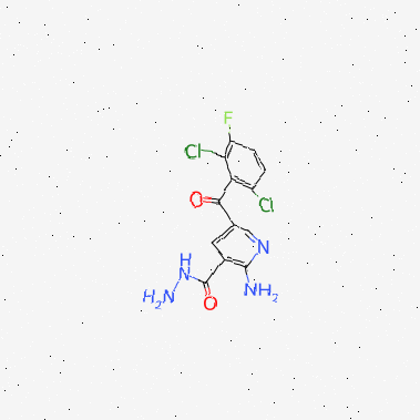 NNC(=O)c1cc(C(=O)c2c(Cl)ccc(F)c2Cl)cnc1N